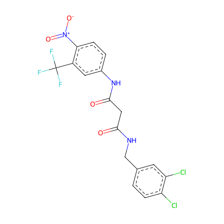 O=C(CC(=O)Nc1ccc([N+](=O)[O-])c(C(F)(F)F)c1)NCc1ccc(Cl)c(Cl)c1